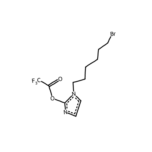 O=C(Oc1nccn1CCCCCCBr)C(F)(F)F